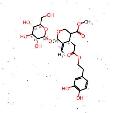 C/C=C1/[C@H](O[C@@H]2O[C@H](CO)[C@@H](O)[C@H](O)[C@H]2O)OCC(C(=O)OC)[C@H]1CC(=O)OCCc1ccc(O)c(O)c1